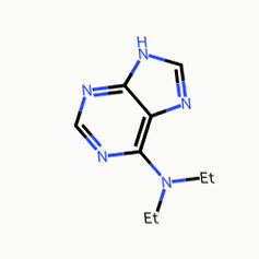 CCN(CC)c1ncnc2[nH]cnc12